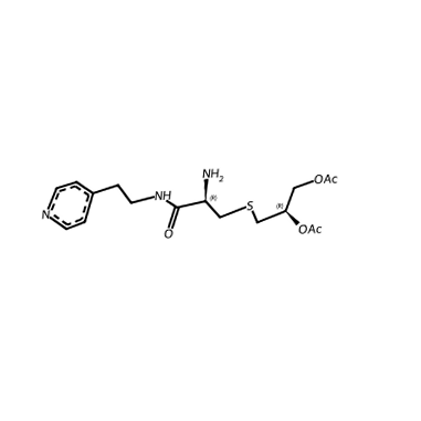 CC(=O)OC[C@H](CSC[C@H](N)C(=O)NCCc1ccncc1)OC(C)=O